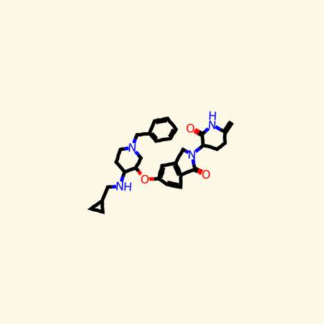 C=C1CCC(N2Cc3cc(OC4CN(Cc5ccccc5)CCC4NCC4CC4)ccc3C2=O)C(=O)N1